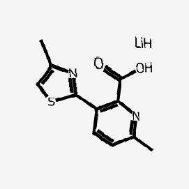 Cc1csc(-c2ccc(C)nc2C(=O)O)n1.[LiH]